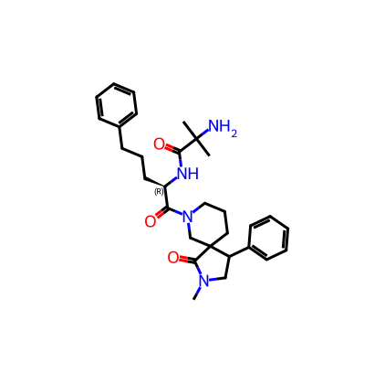 CN1CC(c2ccccc2)C2(CCCN(C(=O)[C@@H](CCCc3ccccc3)NC(=O)C(C)(C)N)C2)C1=O